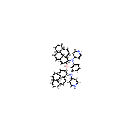 c1cc2c3c(c1)N(c1ccncc1)c1c(cc4ccc5cccc6ccc1c4c56)B3c1cc3ccc4cccc5ccc(c1N2c1ccncc1)c3c45